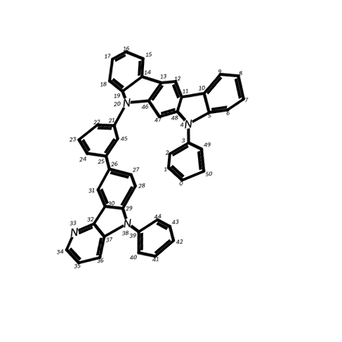 c1ccc(-n2c3ccccc3c3cc4c5ccccc5n(-c5cccc(-c6ccc7c(c6)c6ncccc6n7-c6ccccc6)c5)c4cc32)cc1